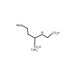 CSCCC(NCC(=O)O)C(=O)O.[CaH2]